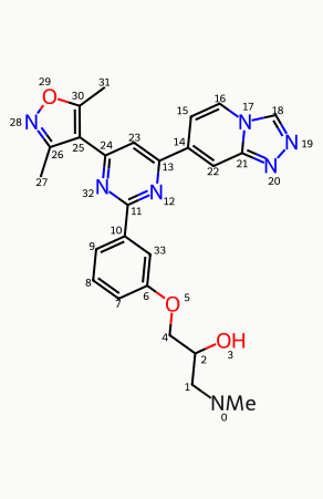 CNCC(O)COc1cccc(-c2nc(-c3ccn4cnnc4c3)cc(-c3c(C)noc3C)n2)c1